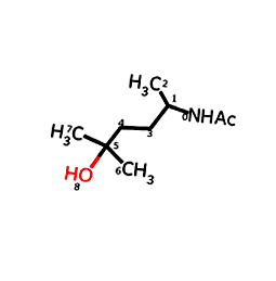 CC(=O)NC(C)CCC(C)(C)O